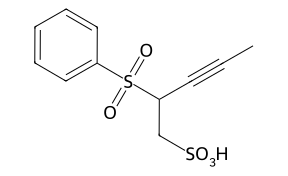 CC#CC(CS(=O)(=O)O)S(=O)(=O)c1ccccc1